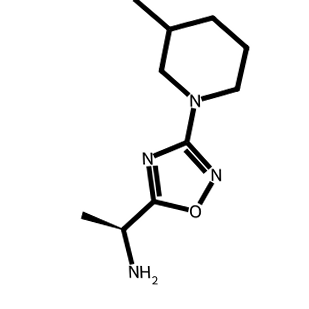 CC1CCCN(c2noc([C@H](C)N)n2)C1